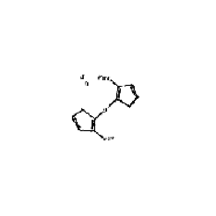 CCCC(C)C1=[C]([Zr+2][C]2=C(C(C)CCC)C=CC2)CC=C1.[Cl-].[Cl-]